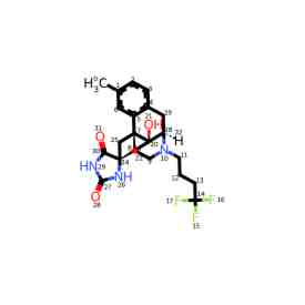 Cc1ccc2c(c1)[C@]13CCN(CCCC(F)(F)F)[C@H](C2)[C@]1(O)CC[C@@]1(C3)NC(=O)NC1=O